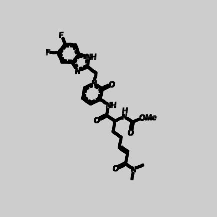 COC(=O)NC(CCC=CC(=O)N(C)C)C(=O)Nc1cccn(Cc2nc3cc(F)c(F)cc3[nH]2)c1=O